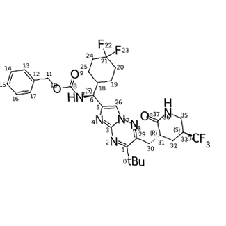 CC(C)(C)c1nc2nc([C@@H](NC(=O)OCc3ccccc3)C3CCC(F)(F)CC3)cn2nc1C[C@H]1C[C@H](C(F)(F)F)CNC1=O